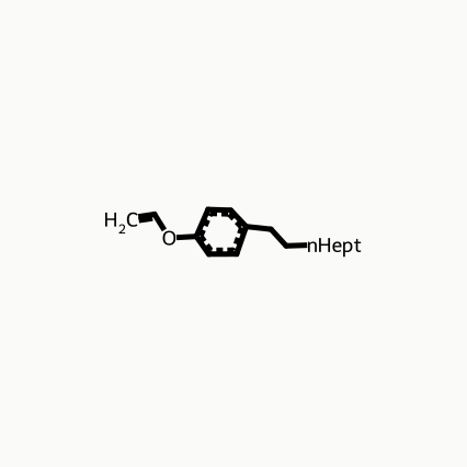 C=COc1ccc(CCCCCCCCC)cc1